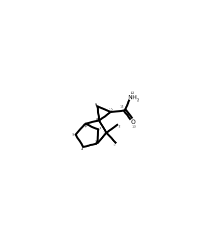 CC1(C)C2CCC(C2)C12CC2C(N)=O